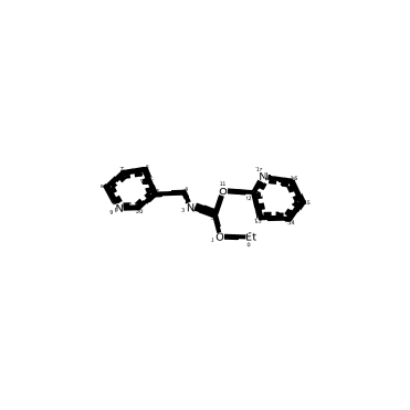 CCOC(=NCc1cccnc1)Oc1ccccn1